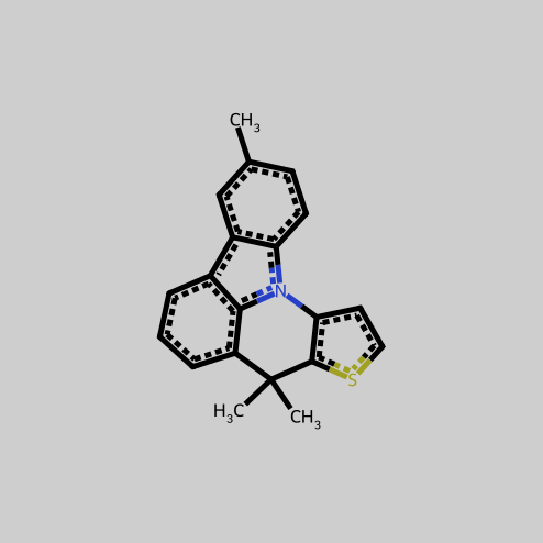 Cc1ccc2c(c1)c1cccc3c1n2-c1ccsc1C3(C)C